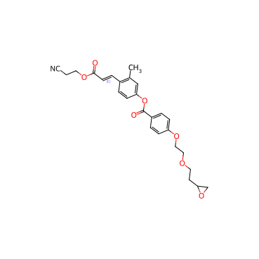 Cc1cc(OC(=O)c2ccc(OCCOCCC3CO3)cc2)ccc1/C=C/C(=O)OCCC#N